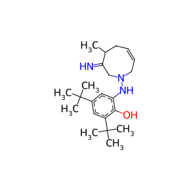 CC1C/C=C\CN(Nc2cc(C(C)(C)C)cc(C(C)(C)C)c2O)CC1=N